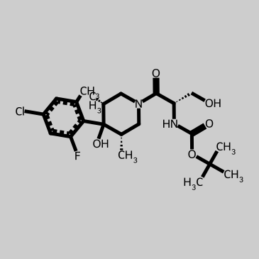 Cc1cc(Cl)cc(F)c1C1(O)[C@H](C)CN(C(=O)[C@H](CO)NC(=O)OC(C)(C)C)C[C@@H]1C